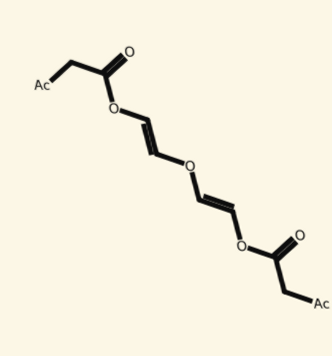 CC(=O)CC(=O)OC=COC=COC(=O)CC(C)=O